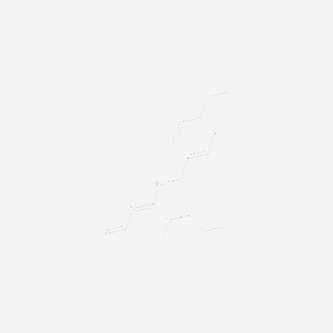 C=C/N=C(/NCc1ccc(OC)cc1)N(C)CCC